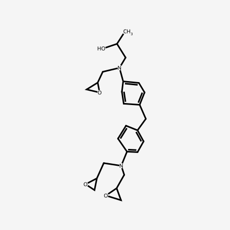 CC(O)CN(CC1CO1)c1ccc(Cc2ccc(N(CC3CO3)CC3CO3)cc2)cc1